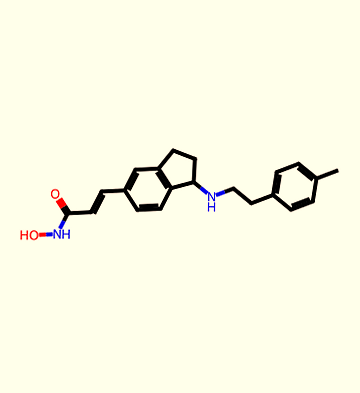 Cc1ccc(CCNC2CCc3cc(/C=C/C(=O)NO)ccc32)cc1